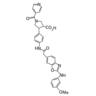 COc1cccc(Nc2nc3ccc(CC(=O)Nc4ccc(C5CN(C(=O)c6ccncc6)CC5C(=O)O)cc4)cc3o2)c1